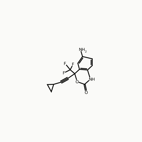 Nc1ccc2c(c1)C(C#CC1CC1)(C(F)(F)F)OC(=O)N2